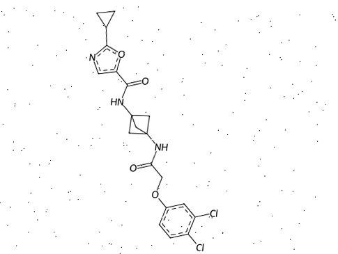 O=C(COc1ccc(Cl)c(Cl)c1)NC12CC(NC(=O)c3cnc(C4CC4)o3)(C1)C2